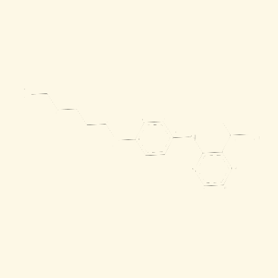 CCCCCCOc1ccc(Nc2ncccc2C(C)C)cc1